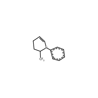 FC(F)(F)C1CCC=CN1c1ccccc1